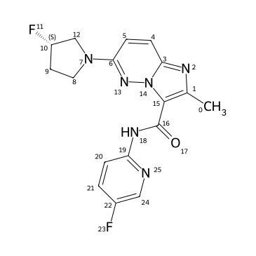 Cc1nc2ccc(N3CC[C@H](F)C3)nn2c1C(=O)Nc1ccc(F)cn1